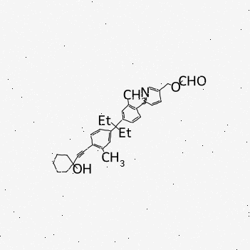 CCC(CC)(c1ccc(C#CC2(O)CCCCC2)c(C)c1)c1ccc(-c2ccc(COC=O)cn2)c(C)c1